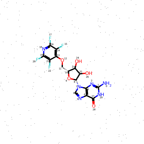 Nc1nc2c(ncn2[C@@H]2O[C@H](COc3c(F)c(F)nc(F)c3F)C(O)C2O)c(=O)[nH]1